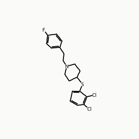 Fc1ccc(CCN2CCC(Sc3cccc(Cl)c3Cl)CC2)cc1